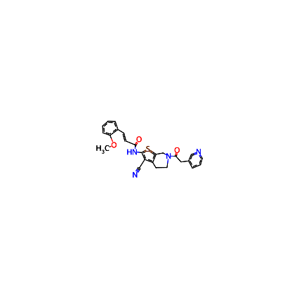 COc1ccccc1C=CC(=O)Nc1sc2c(c1C#N)CCN(C(=O)Cc1cccnc1)C2